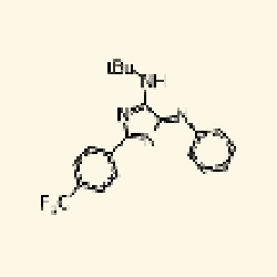 CC(C)(C)NC1=NC(c2ccc(C(F)(F)F)cc2)=N/C1=N\c1ccccc1